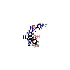 CC(=O)N1CCC(c2nc(-c3cncc([C@@](O)(c4ccc(Br)cc4)C4(C)CN(C)C4)c3)no2)CC1